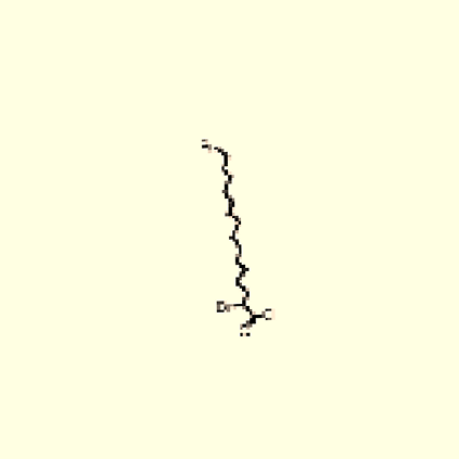 CC(C)CCCCCCCCCCCCCC(Br)C(=O)Cl